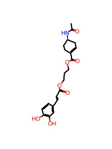 CC(=O)N[C@H]1CC=C(C(=O)OCCCOC(=O)/C=C/c2ccc(O)c(O)c2)CC1